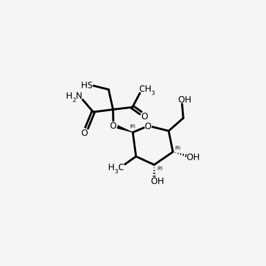 CC(=O)C(CS)(O[C@H]1OC(CO)[C@H](O)[C@H](O)C1C)C(N)=O